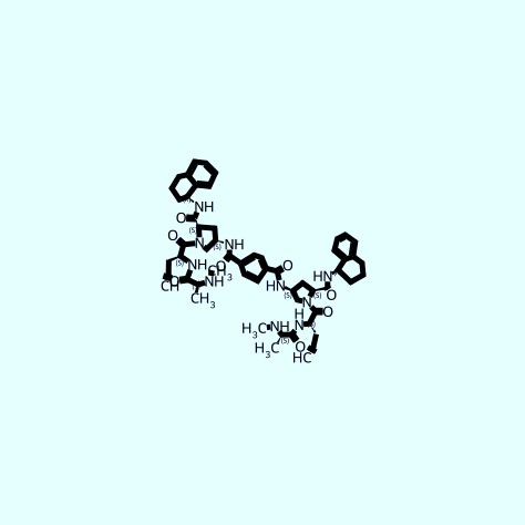 C#CC[C@H](NC(=O)[C@H](C)NC)C(=O)N1C[C@@H](NC(=O)c2ccc(C(=O)N[C@H]3C[C@@H](C(=O)N[C@@H]4CCCc5ccccc54)N(C(=O)[C@H](CC#C)NC(=O)[C@H](C)NC)C3)cc2)C[C@H]1C(=O)N[C@@H]1CCCc2ccccc21